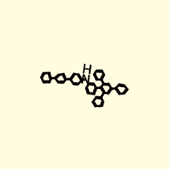 c1ccc(-c2ccc(-c3ccc(Nc4cccc(-c5c(-c6ccccc6)cc(-c6ccccc6)cc5-c5ccccc5)c4)cc3)cc2)cc1